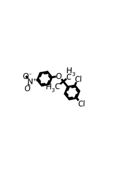 CC(C)(Oc1ccc([N+](=O)[O-])cc1)c1ccc(Cl)cc1Cl